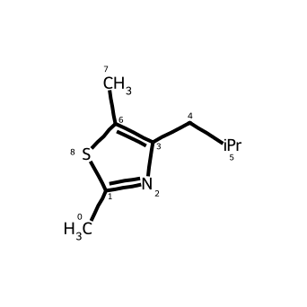 Cc1nc(CC(C)C)c(C)s1